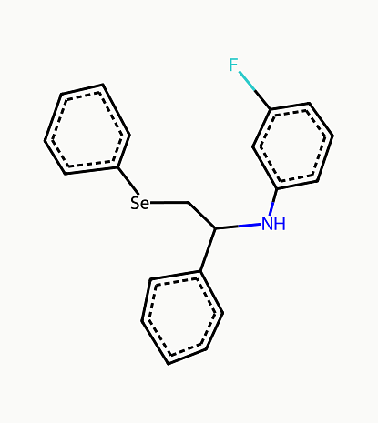 Fc1cccc(NC(C[Se]c2ccccc2)c2ccccc2)c1